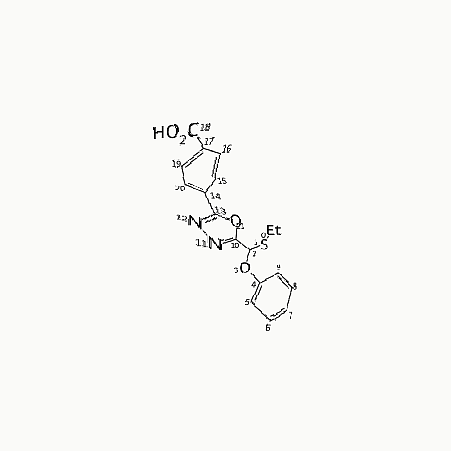 CCSC(Oc1ccccc1)c1nnc(-c2ccc(C(=O)O)cc2)o1